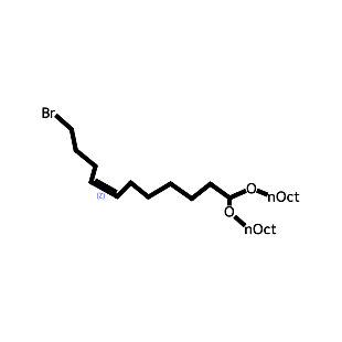 CCCCCCCCOC(CCCCC/C=C\CCCBr)OCCCCCCCC